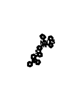 c1ccc(-c2nc(-c3ccc4sc5c(-c6cccc7c6c6ccccc6n7-c6ccccc6)cccc5c4c3)nc(-c3cccc4sc5ccccc5c34)n2)cc1